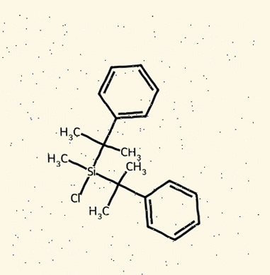 CC(C)(c1ccccc1)[Si](C)(Cl)C(C)(C)c1ccccc1